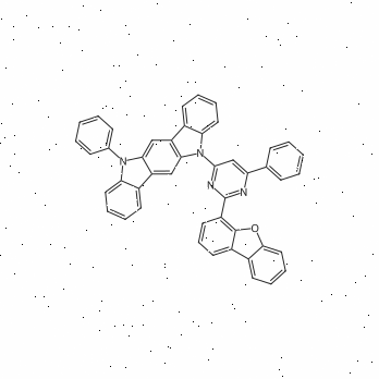 c1ccc(-c2cc(-n3c4ccccc4c4cc5c(cc43)c3ccccc3n5-c3ccccc3)nc(-c3cccc4c3oc3ccccc34)n2)cc1